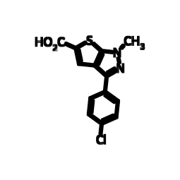 Cn1nc(-c2ccc(Cl)cc2)c2cc(C(=O)O)sc21